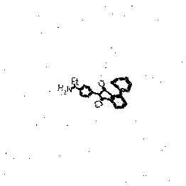 CCC(N)c1ccc(C2C(=O)c3cccc(-c4ccccc4)c3C2=O)cc1